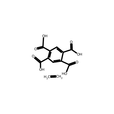 C=C.O=C(O)c1cc(C(=O)O)c(C(=O)O)cc1C(=O)O